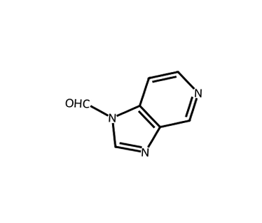 O=Cn1cnc2cnccc21